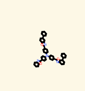 c1ccc(-c2ccc3oc(-c4ccc(N(c5ccc(-c6nc7ccccc7o6)cc5)c5ccc(-c6nc7cccc(-c8ccccc8)c7o6)cc5)cc4)nc3c2)cc1